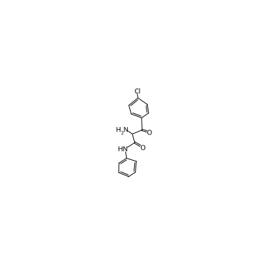 NC(C(=O)Nc1ccccc1)C(=O)c1ccc(Cl)cc1